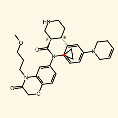 COCCCN1C(=O)COc2ccc(N(C(=O)[C@H]3CNCC[C@@H]3c3cccc(N4CC=CCC4)c3)C3CC3)cc21